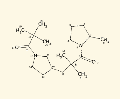 CC1CCCN1C(=O)C(C)(C)CC1CCN(C(=O)C(C)(C)C)C1